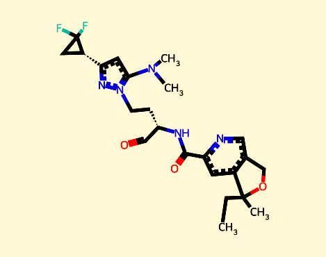 CCC1(C)OCc2cnc(C(=O)N[C@H](C=O)CCn3nc([C@@H]4CC4(F)F)cc3N(C)C)cc21